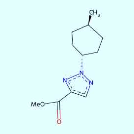 COC(=O)c1cnn([C@H]2CC[C@H](C)CC2)n1